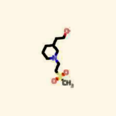 CS(=O)(=O)CCN1CCCC(CC[O])C1